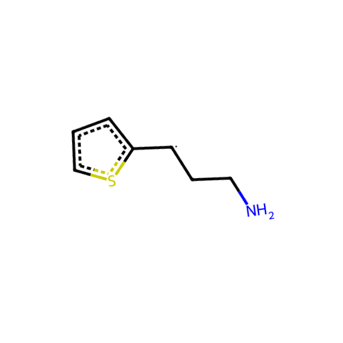 NCC[CH]c1cccs1